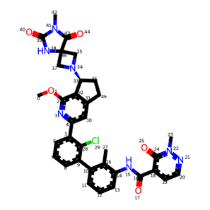 COc1nc(-c2cccc(-c3cccc(NC(=O)c4ccnn(C)c4=O)c3C)c2Cl)cc2c1[C@@H](N1CC3(C1)NC(=O)N(C)C3=O)CC2